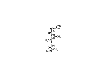 CNC(C)C(=O)NCCN(C)c1cc(Nc2ncc(-c3ccncc3)s2)nc(C)n1